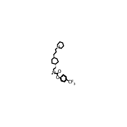 CN(CC[C@H]1CC[C@H](CCCN2CCCCC2)CC1)C(=O)Oc1ccc(C(F)(F)F)cc1